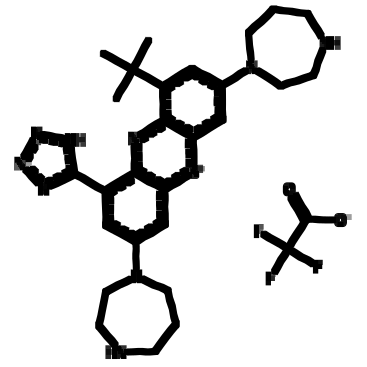 CC(C)(C)c1cc(N2CCCNCC2)cc2[s+]c3cc(N4CCCNCC4)cc(-c4nnn[nH]4)c3nc12.O=C([O-])C(F)(F)F